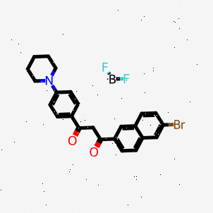 F[B]F.O=C(CC(=O)c1ccc2cc(Br)ccc2c1)c1ccc(N2CCCCC2)cc1